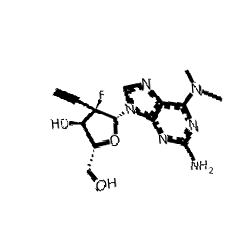 C#C[C@@]1(F)[C@H](O)[C@@H](CO)O[C@H]1n1cnc2c(N(C)C)nc(N)nc21